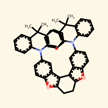 CC1(C)C2=C(CCC=C2)N(c2ccc3oc4c(c3c2)-c2c(oc3ccc(N5C6=C(CCC=C6)C(C)(C)c6ccccc65)cc23)CC4)c2ccccc21